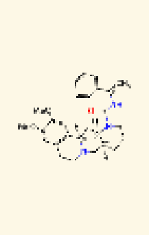 COc1cc2c(cc1OC)[C@H]1C[C@@H]3[C@@H](CCCN3C(=O)N[C@H](C)c3ccccc3)CN1CC2